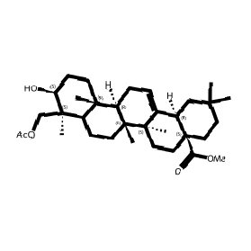 COC(=O)[C@]12CCC(C)(C)C[C@@H]1C1=CC[C@@H]3[C@@]4(C)CC[C@H](O)[C@](C)(COC(C)=O)C4CC[C@@]3(C)[C@]1(C)CC2